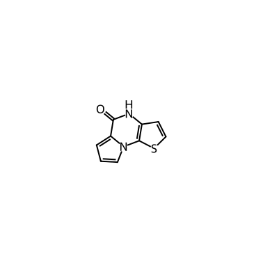 O=c1[nH]c2ccsc2n2cccc12